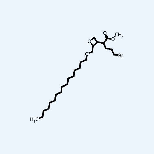 CCCCCCCCCCCCCCCCOCC1OCC1C(CCCBr)C(=O)OC